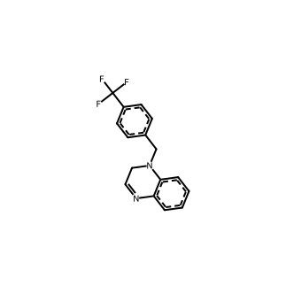 FC(F)(F)c1ccc(CN2CC=Nc3ccccc32)cc1